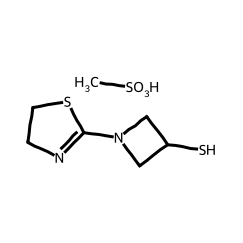 CS(=O)(=O)O.SC1CN(C2=NCCS2)C1